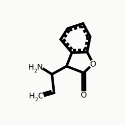 C=CC(N)C1C(=O)Oc2ccccc21